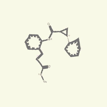 O=C(/C=C/c1ccccc1NC(=O)C1C[C@@H]1c1ccccc1)NO